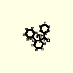 NC1(C(=O)c2ccccc2)CC=CC=C1c1ccccc1